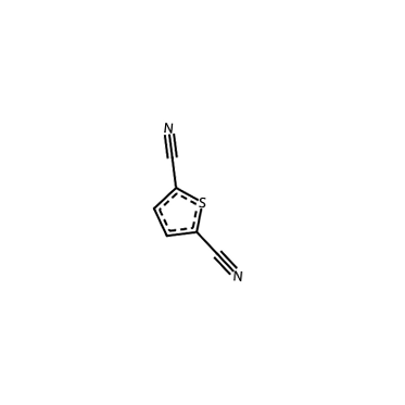 N#Cc1ccc(C#N)s1